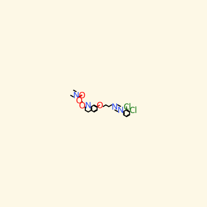 CCN(CC)C(=O)OCOC1=Nc2cc(OCCCCN3CCN(c4cccc(Cl)c4Cl)CC3)ccc2CC1